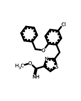 COC(=N)c1csc(Cc2cc(Cl)ccc2OCc2ccccc2)n1